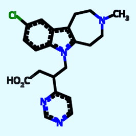 CN1CCc2c(n(CC(CC(=O)O)c3ccncn3)c3ccc(Cl)cc23)CC1